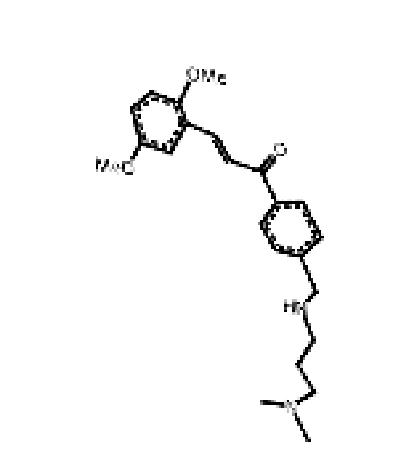 COc1ccc(OC)c(C=CC(=O)c2ccc(CNCCCN(C)C)cc2)c1